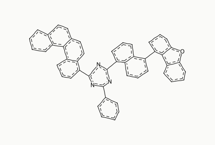 c1ccc(-c2nc(-c3cccc4c(-c5cccc6oc7ccccc7c56)cccc34)nc(-c3cccc4c3ccc3ccc5ccccc5c34)n2)cc1